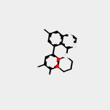 Cc1cc(-c2ccc(Cl)c(Cl)c2)c2c(N3CCCCC3)ncnc2c1